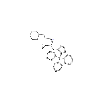 C(=C/C(Cc1nccn1C(c1ccccc1)(c1ccccc1)c1ccccc1)C1CC1)/CCC1CCCCC1